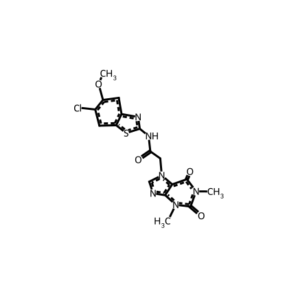 COc1cc2nc(NC(=O)Cn3cnc4c3c(=O)n(C)c(=O)n4C)sc2cc1Cl